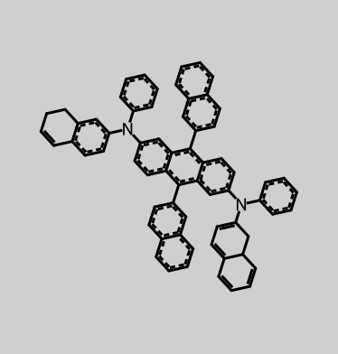 C1=CC2=CC=C(N(c3ccccc3)c3ccc4c(-c5ccc6ccccc6c5)c5cc(N(c6ccccc6)c6ccc7c(c6)CCC=C7)ccc5c(-c5ccc6ccccc6c5)c4c3)CC2C=C1